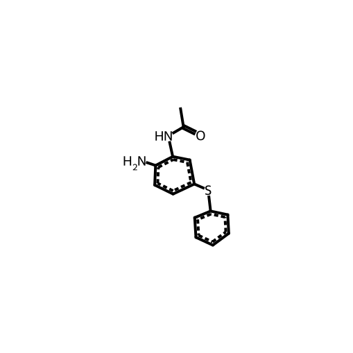 CC(=O)Nc1cc(Sc2ccccc2)ccc1N